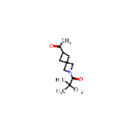 CC(=O)C1CC2(C1)CN(C(=O)C(C)(C)C)C2